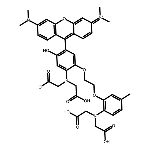 Cc1ccc(N(CC(=O)O)CC(=O)O)c(OCCOc2cc(-c3c4ccc(=[N+](C)C)cc-4oc4cc(N(C)C)ccc34)c(O)cc2N(CC(=O)O)CC(=O)O)c1